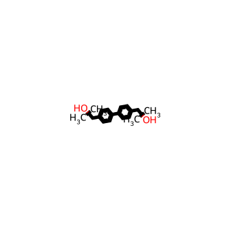 CC(C)(O)Cc1ccc(-c2ccc(CC(C)(C)O)cc2)cc1